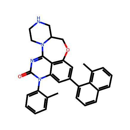 Cc1ccccc1-n1c(=O)nc2c3c(cc(-c4cccc5cccc(C)c45)cc31)OCC1CNCCN21